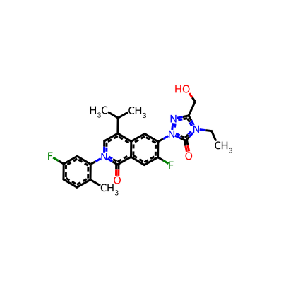 CCn1c(CO)nn(-c2cc3c(C(C)C)cn(-c4cc(F)ccc4C)c(=O)c3cc2F)c1=O